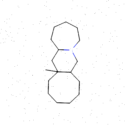 CC12CCCCCCC1CN1CCCCCC1C2